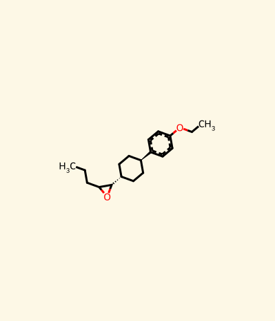 CCCC1OC1[C@H]1CC[C@H](c2ccc(OCC)cc2)CC1